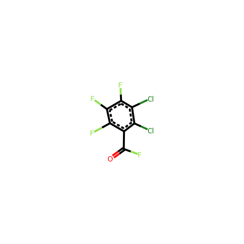 O=C(F)c1c(F)c(F)c(F)c(Cl)c1Cl